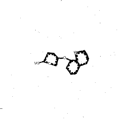 Sc1ccc(Oc2cccc3cccnc23)cc1